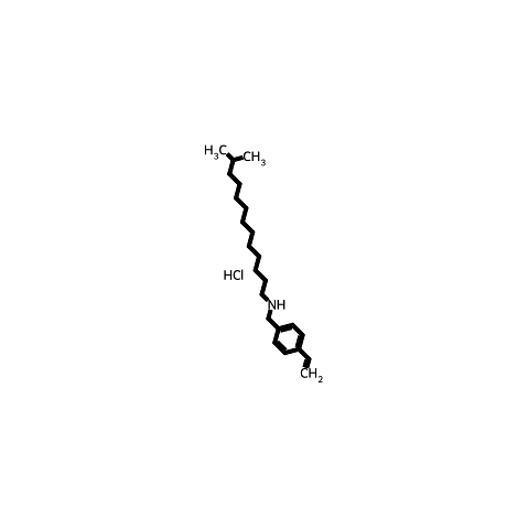 C=Cc1ccc(CNCCCCCCCCCCCC(C)C)cc1.Cl